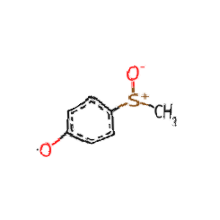 C[S+]([O-])c1ccc([O])cc1